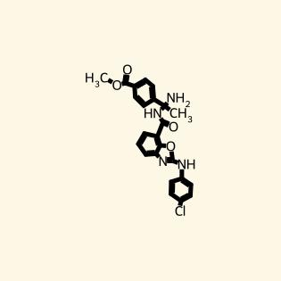 COC(=O)c1ccc(C(C)(N)NC(=O)c2cccc3nc(Nc4ccc(Cl)cc4)oc23)cc1